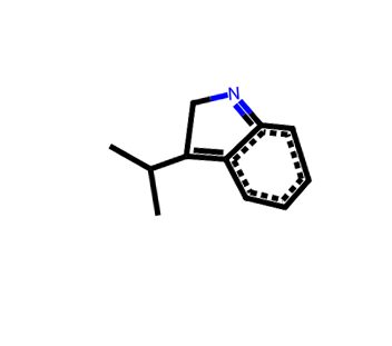 CC(C)C1=c2ccccc2=NC1